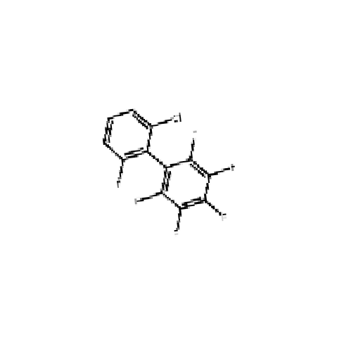 Fc1cccc(Cl)c1-c1c(F)c(F)c(F)c(F)c1F